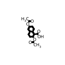 CC(=O)Oc1ccc2c(C(=O)O)c(OC(C)=O)ccc2c1